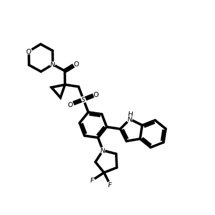 O=C(N1CCOCC1)C1(CS(=O)(=O)c2ccc(N3CCC(F)(F)C3)c(-c3cc4ccccc4[nH]3)c2)CC1